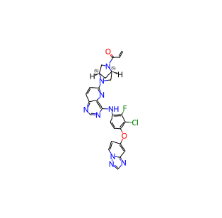 C=CC(=O)N1C[C@@H]2C[C@H]1CN2c1ccc2ncnc(Nc3ccc(Oc4ccn5ncnc5c4)c(Cl)c3F)c2n1